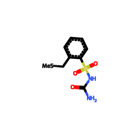 CSCc1ccccc1S(=O)(=O)NC(N)=O